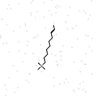 CC=CCCCCCCC[Si](C)(C)C